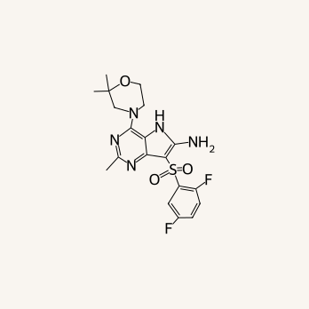 Cc1nc(N2CCOC(C)(C)C2)c2[nH]c(N)c(S(=O)(=O)c3cc(F)ccc3F)c2n1